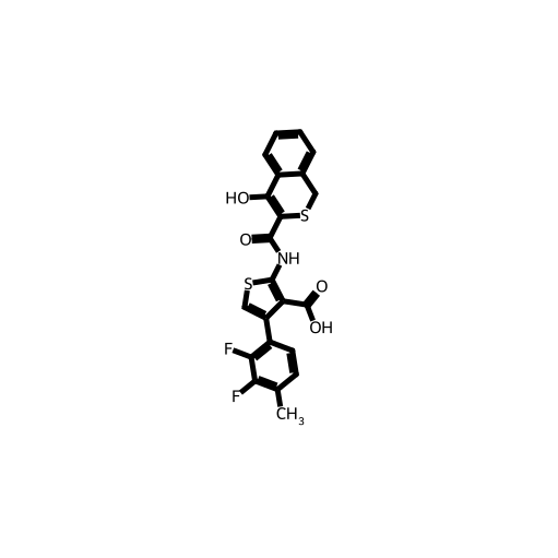 Cc1ccc(-c2csc(NC(=O)C3=C(O)c4ccccc4CS3)c2C(=O)O)c(F)c1F